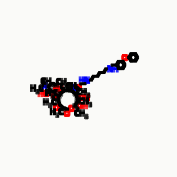 CC[C@H]1OC(=O)[C@H](C)C(=O)[C@H](C)[C@@H](O[C@@H]2O[C@H](C)C[C@H](N(C)C)[C@H]2O)[C@@](C)(OC)C[C@@H](C)C(=NOCCNCCCCCCNCc2cccc(Oc3ccccc3)c2)[C@H](C)[C@@H](O)[C@]1(C)O